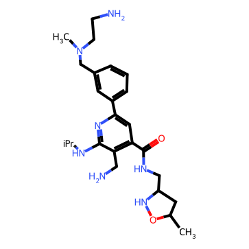 CC(C)Nc1nc(-c2cccc(CN(C)CCN)c2)cc(C(=O)NCC2CC(C)ON2)c1CN